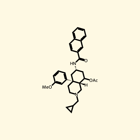 COc1cccc([C@@]23CCN(CC4CC4)C[C@H]2C(OC(C)=O)C[C@@H](NC(=O)c2ccc4ccccc4c2)C3)c1